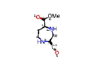 COC(=O)C1CCNC(=C=O)CN1